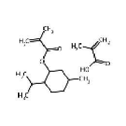 C=C(C)C(=O)O.C=C(C)C(=O)OC1CC(C)CCC1C(C)C